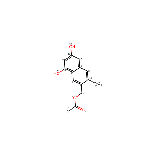 CC(C)C(=O)OCc1cc2c(O)cc(O)cc2cc1[N+](=O)[O-]